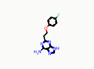 Nc1nc(CCOc2ccc(F)cc2)nc2[nH]cnc12